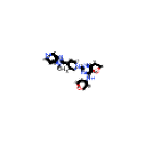 Cn1c(C2CCN(c3nc4c(c(NC5CCOCC5)n3)OCC4)CC2)nc2cnccc21